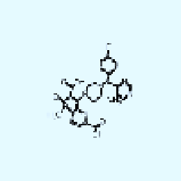 C[C@@H]1CN(c2c(C(=O)O)c(=O)n(C)c3ccc(C(=O)O)nc23)CCN1C(c1ccc(F)cc1)c1ccncn1